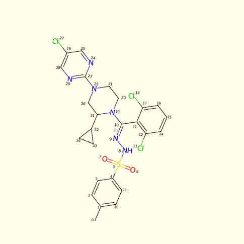 Cc1ccc(S(=O)(=O)N/N=C(\c2c(Cl)cccc2Cl)N2CCN(c3ncc(Cl)cn3)CC2C2CC2)cc1